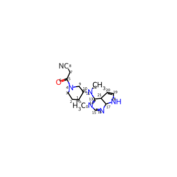 C[C@@H]1CCN(C(=O)CC#N)C[C@@H]1N(C)C1=NC=NC2NC=CC12